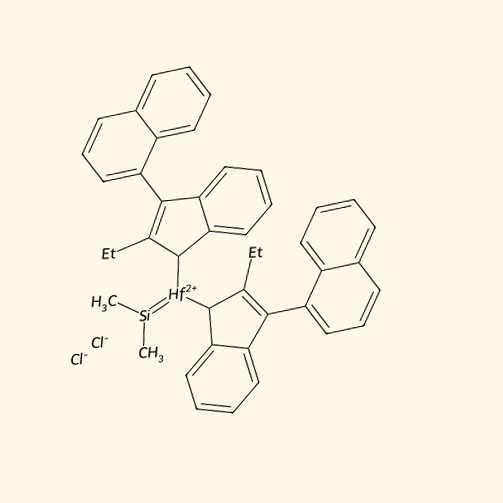 CCC1=C(c2cccc3ccccc23)c2ccccc2[CH]1[Hf+2]([CH]1C(CC)=C(c2cccc3ccccc23)c2ccccc21)=[Si](C)C.[Cl-].[Cl-]